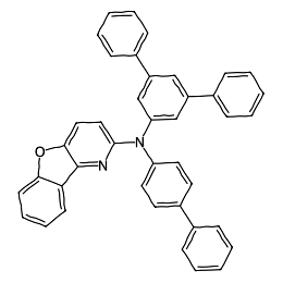 c1ccc(-c2ccc(N(c3cc(-c4ccccc4)cc(-c4ccccc4)c3)c3ccc4oc5ccccc5c4n3)cc2)cc1